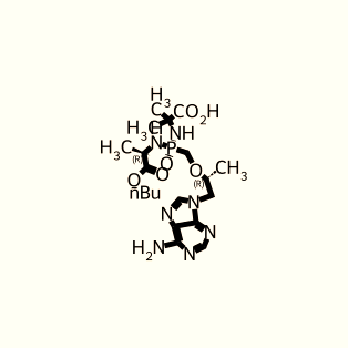 CCCCOC(=O)[C@@H](C)NP(=O)(CO[C@H](C)Cn1cnc2c(N)ncnc21)NC(C)(C)C(=O)O